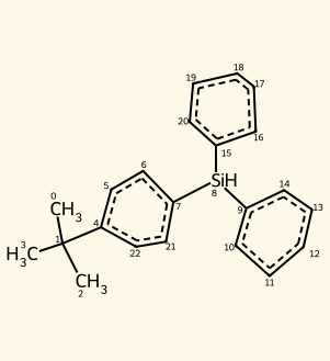 CC(C)(C)c1ccc([SiH](c2ccccc2)c2ccccc2)cc1